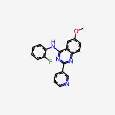 COc1ccc2nc(-c3cccnc3)nc(Nc3ccccc3F)c2c1